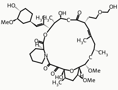 CO[C@H]1C[C@@H](C)C/C(C)=C/[C@@H](CCOCO)C(=O)C[C@H](O)[C@@H](C)[C@@H](/C(C)=C/[C@@H]2CC[C@@H](O)[C@H](OC)C2)OC(=O)[C@@H]2CCCCN2C(=O)C(=O)[C@]2(O)O[C@H]1[C@@H](OC)C[C@H]2C